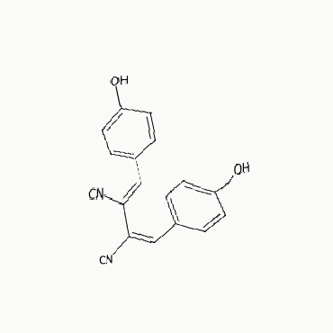 [C-]#[N+]C(=Cc1ccc(O)cc1)C(=Cc1ccc(O)cc1)[N+]#[C-]